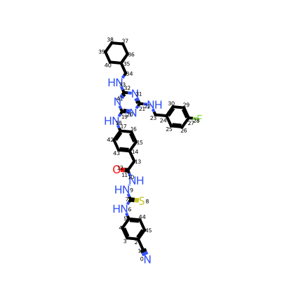 N#Cc1ccc(NC(=S)NNC(=O)Cc2ccc(Nc3nc(NCc4ccc(F)cc4)nc(NCC4CCCCC4)n3)cc2)cc1